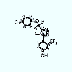 Cn1c(-c2ccc(O)cc2C(F)(F)F)nnc1C(C)(C)Oc1ccc(Cl)cc1